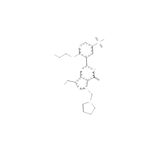 CCCOc1ncc(S(C)(=O)=O)cc1-c1nc2c(CC)nn(CN3CCCC3)c2c(=O)[nH]1.Cl